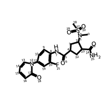 CN(C1CC(C(=O)Nc2ccc(-n3ccccc3=O)cc2F)CC1C(N)=O)S(C)(=O)=O